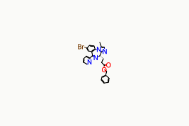 Cc1cnc2n1-c1ccc(Br)cc1C(c1ccccn1)=N[C@H]2CCC(=O)OCc1ccccc1